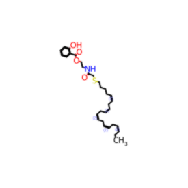 CC/C=C\C/C=C\C/C=C\C/C=C\C/C=C\CCCCSCC(=O)NCCOC(=O)c1ccccc1O